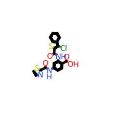 O=C(Nc1ccc(C(=O)O)c(NC(=O)c2sc3ccccc3c2Cl)c1)c1nccs1